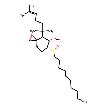 CCCCCCCCCC[S+]([O-])[C@@H]1CC[C@]2(CO2)[C@@H](C(C)(C)CCC=C(C)C)[C@@H]1OC